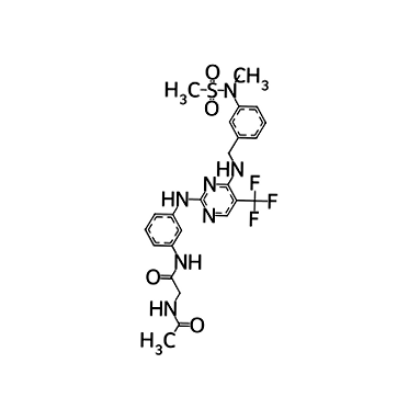 CC(=O)NCC(=O)Nc1cccc(Nc2ncc(C(F)(F)F)c(NCc3cccc(N(C)S(C)(=O)=O)c3)n2)c1